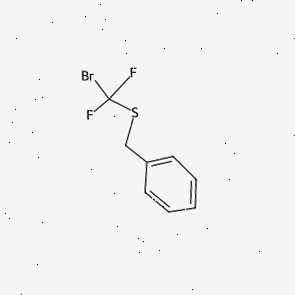 FC(F)(Br)SCc1ccccc1